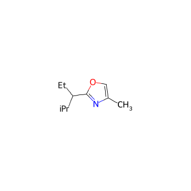 CCC(c1nc(C)co1)C(C)C